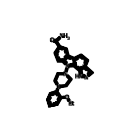 CCOc1ccccc1N1CCN(n2c3ccc(C(N)=O)cc3c3ccc4cn[nH]c4c32)CC1